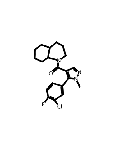 Cn1ncc(C(=O)N2CCCC3CCCCC32)c1-c1ccc(F)c(Cl)c1